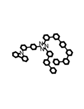 c1ccc(-c2cccc(-c3cccc(-c4ccc(-c5cccc(-c6cccc(-c7nc(-c8ccc(-c9cccc(-n%10c%11ccccc%11c%11ccccc%11%10)c9)cc8)nc(-c8cccc(-c9cccc(-c%10ccccc%10)c9)c8)n7)c6)c5)cc4)c3)c2)cc1